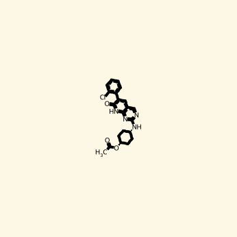 CC(=O)O[C@H]1CC[C@H](Nc2ncc3cc(-c4ccccc4Cl)c(=O)[nH]c3n2)CC1